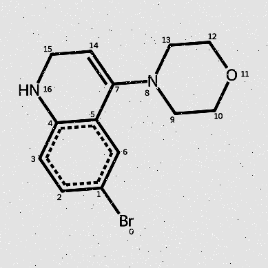 Brc1ccc2c(c1)C(N1CCOCC1)=CCN2